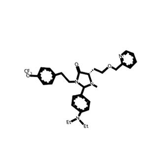 CCN(CC)c1ccc(C2N(CCc3ccc(OC(F)(F)F)cc3)C(=O)[C@H](CCOCc3ccccn3)N2C)cc1